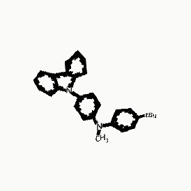 CN(c1ccc(-n2c3ccccc3c3ccccc32)cc1)c1ccc(C(C)(C)C)cc1